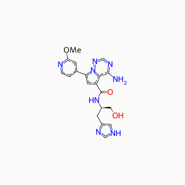 COc1cc(-c2cc(C(=O)N[C@@H](CO)Cc3c[nH]cn3)c3c(N)ncnn23)ccn1